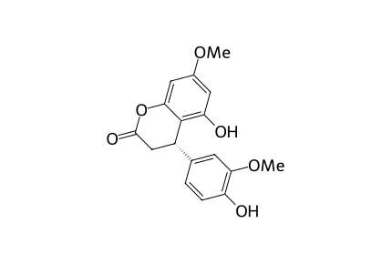 COc1cc(O)c2c(c1)OC(=O)C[C@H]2c1ccc(O)c(OC)c1